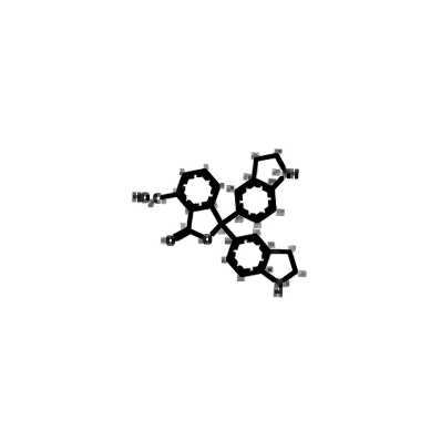 O=C(O)c1cccc2c1C(=O)OC2(c1ccc2c(c1)CCN2)c1ccc2c(c1)CCN2